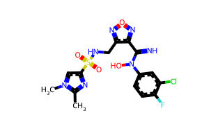 Cc1nc(S(=O)(=O)NCc2nonc2C(=N)N(O)c2ccc(F)c(Cl)c2)cn1C